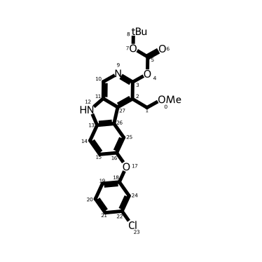 COCc1c(OC(=O)OC(C)(C)C)ncc2[nH]c3ccc(Oc4cccc(Cl)c4)cc3c12